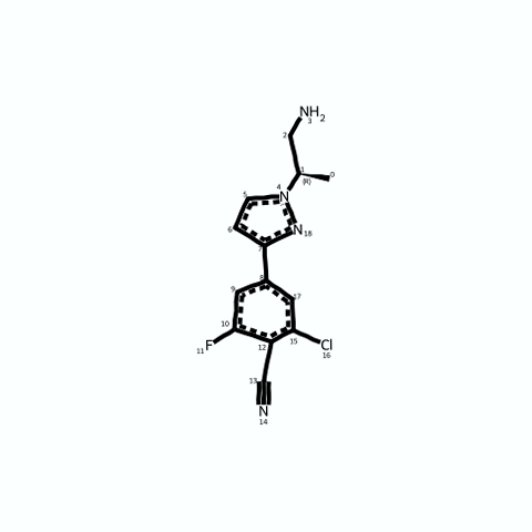 C[C@H](CN)n1ccc(-c2cc(F)c(C#N)c(Cl)c2)n1